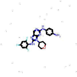 Nc1ccc(Nc2ncc3nc(Nc4c(F)cc(F)cc4F)n(C4CCOCC4)c3n2)cc1